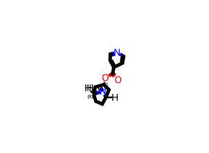 CN1[C@@H]2CC[C@H]1C[C@@H](OC(=O)c1ccncc1)C2